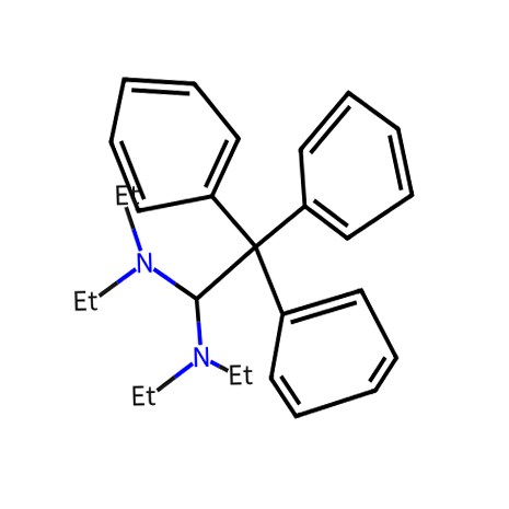 CCN(CC)C(N(CC)CC)C(c1ccccc1)(c1ccccc1)c1ccccc1